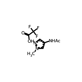 CC(=O)Nc1cnn(C)c1.O=C(O)C(F)(F)F